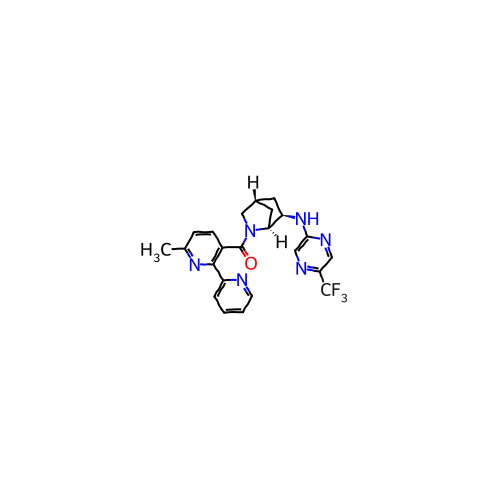 Cc1ccc(C(=O)N2C[C@@H]3C[C@@H](Nc4cnc(C(F)(F)F)cn4)[C@@H]2C3)c(-c2ccccn2)n1